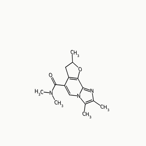 Cc1nc2c3c(c(C(=O)N(C)C)cn2c1C)CC(C)O3